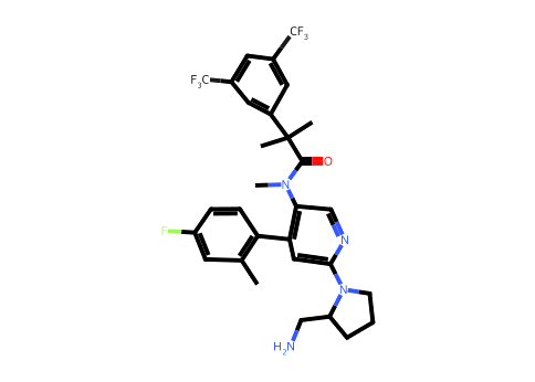 Cc1cc(F)ccc1-c1cc(N2CCCC2CN)ncc1N(C)C(=O)C(C)(C)c1cc(C(F)(F)F)cc(C(F)(F)F)c1